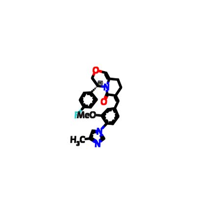 COc1cc(C=C2CCC3=COC[C@@H](c4ccc(F)cc4)N3C2=O)ccc1-n1cnc(C)c1